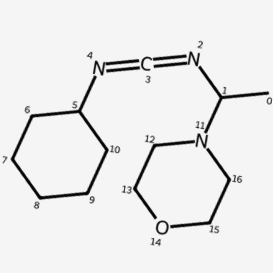 CC(N=C=NC1CCCCC1)N1CCOCC1